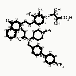 CC(C)N1CCC(N(Cc2ccc(-c3ccc(C(F)(F)F)cc3)cc2)C(=O)Cn2c(CCc3cccc(F)c3F)cc(=O)c3ccccc32)CC1.O=C(O)C(O)C(O)C(=O)O